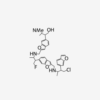 CNC(C)C(CO)c1ccc2cc(CNC(C)C(CF)c3ccc4cc(CNC(C)C(CCl)c5ccc6ccoc6c5)oc4c3)oc2c1